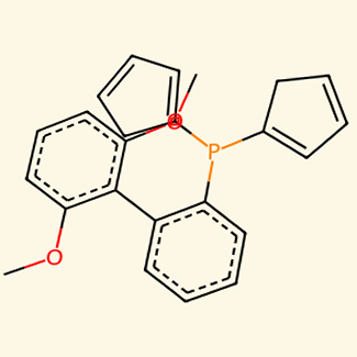 COc1cccc(OC)c1-c1ccccc1P(C1=CC=CC1)C1=CC=CC1